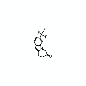 O=C1CCc2cc3ccc(C(F)(F)F)cc3n2C1